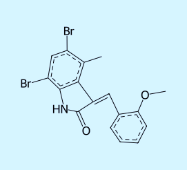 COc1ccccc1C=C1C(=O)Nc2c(Br)cc(Br)c(C)c21